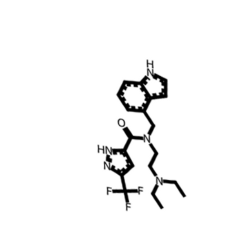 CCN(CC)CCN(Cc1cccc2[nH]ccc12)C(=O)c1cc(C(F)(F)F)n[nH]1